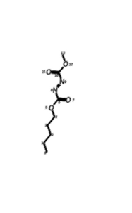 CCCCCOC(=O)N=NC(=O)OC